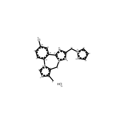 Cc1ncn2c1Cn1nc(Cn3cccn3)nc1-c1cc(Cl)ccc1-2.Cl